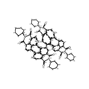 O=C1c2ccc3c4ncc5c6c(cc(-c7cc8c9c(cnc%10c%11ccc%12c%13c(cnc(c7c9%10)c%13%11)C(=O)N(C7CCCCC7)C%12=O)C(=O)N(C7CCCCC7)C8=O)c(c7ncc(c2c37)C(=O)N1C1CCCCC1)c64)C(=O)N(C1CCCCC1)C5=O